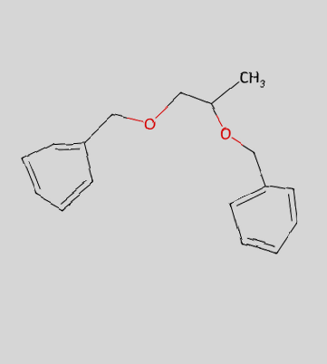 CC(COCc1ccccc1)OCc1ccccc1